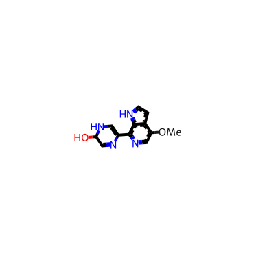 COc1cnc(C2=CNC(O)C=N2)c2[nH]ccc12